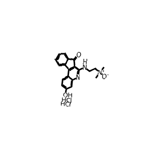 C[N+](C)([O-])CCNc1nc2cc(O)ccc2c2c1C(=O)c1ccccc1-2.Cl.Cl